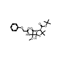 COC1(NC(=O)COc2ccccc2)C(=O)N2[C@@H](C(=O)OC(C)(C)C)C(C)(C)S[C@@H]21